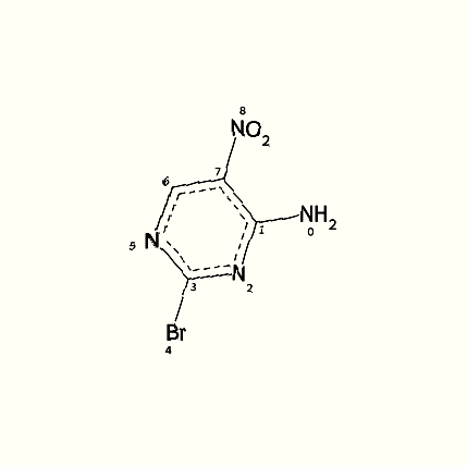 Nc1nc(Br)ncc1[N+](=O)[O-]